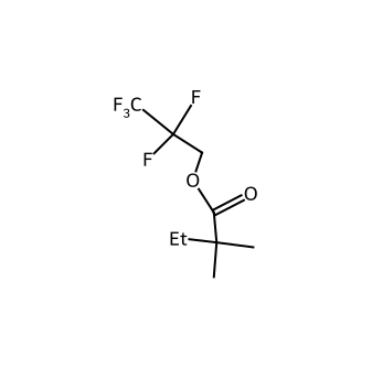 CCC(C)(C)C(=O)OCC(F)(F)C(F)(F)F